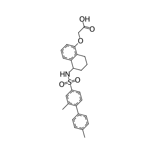 Cc1ccc(-c2ccc(S(=O)(=O)NC3CCCc4c(OCC(=O)O)cccc43)cc2C)cc1